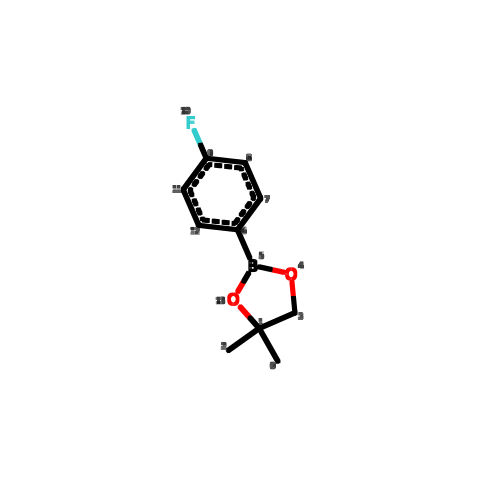 CC1(C)COB(c2ccc(F)cc2)O1